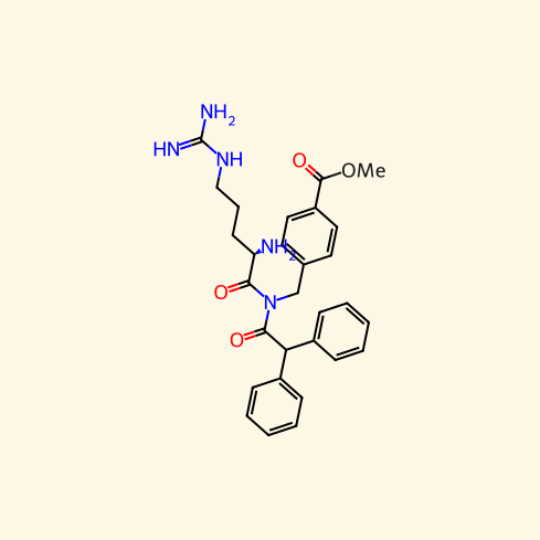 COC(=O)c1ccc(CN(C(=O)C(c2ccccc2)c2ccccc2)C(=O)[C@H](N)CCCNC(=N)N)cc1